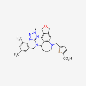 Cn1nnc(N(Cc2cc(C(F)(F)F)cc(C(F)(F)F)c2)C2CCCN(Cc3ccc(C(=O)O)s3)c3cc4c(cc32)COC4)n1